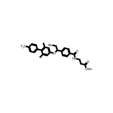 COC(=O)CCNC(=O)c1ccc(C(CC(C)(C)C)Oc2cc(C)c(-c3ccc(C(F)(F)F)cc3)c(C)c2)cc1